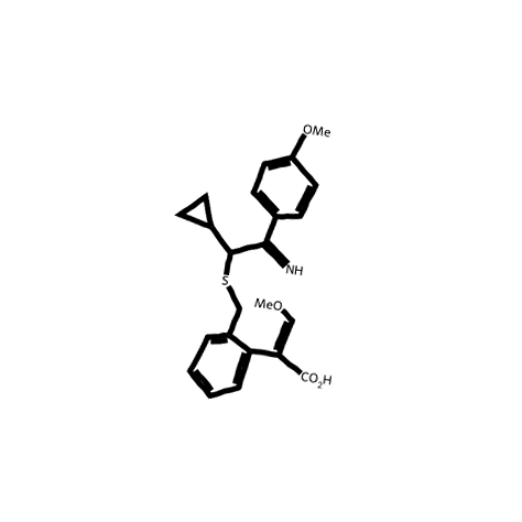 CO/C=C(/C(=O)O)c1ccccc1CSC(C(=N)c1ccc(OC)cc1)C1CC1